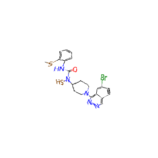 CSc1ccccc1NC(=O)N(S)C1CCN(c2nncc3ccc(Br)cc23)CC1